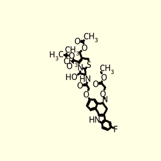 CCOC(=O)CO/N=C1/Cc2c([nH]c3ccc(F)cc23)-c2ccc(OCC(=O)NC3C(O)N4C(C(=O)OC(C)(C)C)=C(COC(C)=O)CSC34)cc21